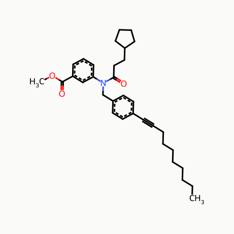 CCCCCCCCC#Cc1ccc(CN(C(=O)CCC2CCCC2)c2cccc(C(=O)OC)c2)cc1